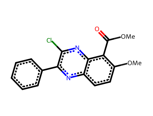 COC(=O)c1c(OC)ccc2nc(-c3ccccc3)c(Cl)nc12